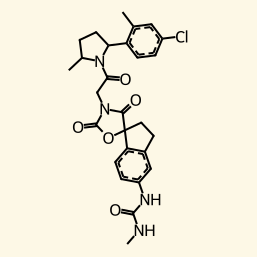 CNC(=O)Nc1ccc2c(c1)CCC21OC(=O)N(CC(=O)N2C(C)CCC2c2ccc(Cl)cc2C)C1=O